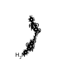 COc1cc2c(cc1OCCCCCOc1cc3c(cc1C)C(=O)N1C=C(c4ccc(N)cc4)C[C@H]1C=N3)N=C[C@@H]1CC(c3ccc(C)cc3)=CN1C2=O